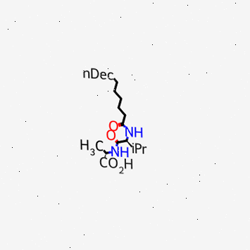 CCCCCCCCCCCCCCCC(=O)N[C@H](C(=O)N[C@@H](C)C(=O)O)C(C)C